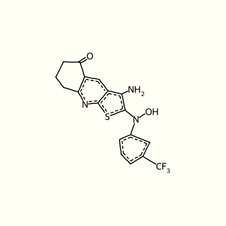 Nc1c(N(O)c2cccc(C(F)(F)F)c2)sc2nc3c(cc12)C(=O)CCC3